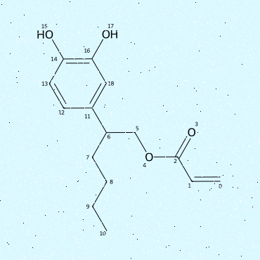 C=CC(=O)OCC(CCCC)c1ccc(O)c(O)c1